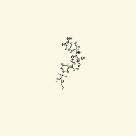 CCOC(=O)C(C)(C)c1cccc(N2CCO[C@H]([C@@H](O)C(=O)Nc3ccc4c(c3)CNC4=N)C2=O)c1